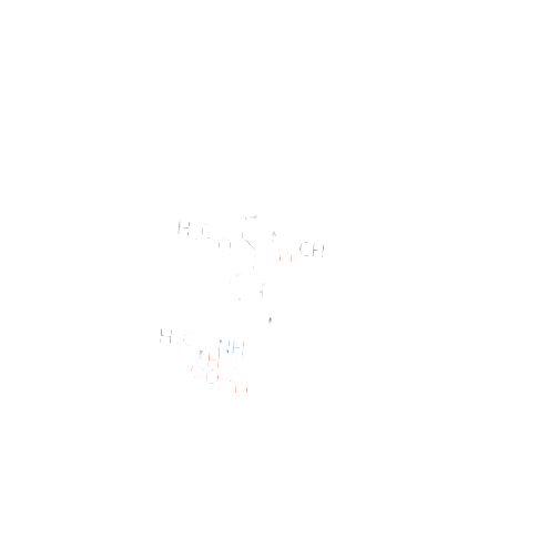 COc1cccc(OC)c1-c1ccc2cc(CC(NC(C)=O)C(=O)O)ccc2c1